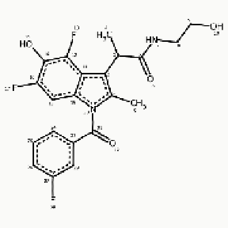 Cc1c(C(C)C(=O)NCCO)c2c(F)c(O)c(F)cc2n1C(=O)c1cccc(F)c1